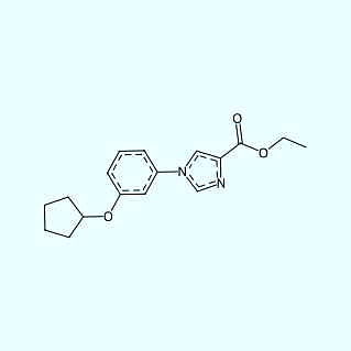 CCOC(=O)c1cn(-c2cccc(OC3CCCC3)c2)cn1